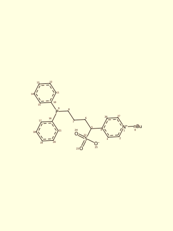 CCCC[n+]1ccc(C(CCCP(c2ccccc2)c2ccccc2)S(=O)(=O)[O-])cc1